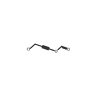 O=[C]OC#CCCl